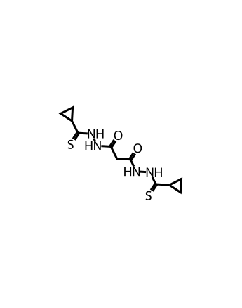 O=C(CC(=O)NNC(=S)C1CC1)NNC(=S)C1CC1